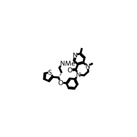 CNCC[C@H](Oc1cccc(N2CCN(C)c3cc(C)ncc3C2=O)c1)c1cccs1